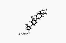 CC(=O)NC[C@H]1CN(c2ccc(N3CCC(O)(CO)CC3)c(F)c2)C(=O)O1